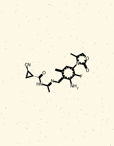 C=c1cc(-n2c(C)coc2=O)c(F)c(N)/c1=C/N=C(\C)NC(=O)[C@@H]1C[C@H]1C#N